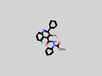 COC(=O)N(NC(=O)c1c(C)c(-c2ccccc2)nc2cccc(F)c12)c1ccccc1